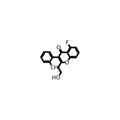 Cc1ccccc1-c1c(CCO)oc2cccc(F)c2c1=O